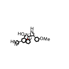 COc1cccc([C@@H]2CNC[C@]2(Cc2ccccc2)c2nc(O)c3cc(-c4cn[nH]c4)ccc3n2)c1